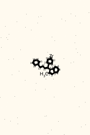 CC1=Cc2ccccc2C1C(=CC=Cc1ccccc1)c1ccccc1.[Zr]